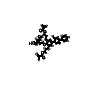 C=C(C)C(=O)OCCCc1cc(-c2ccc(-c3ccccc3)cc2C)cc(CCCOC(=O)C(=C)C)c1OCCC(C)(CO)CO